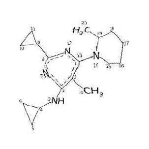 Cc1c(NC2CC2)nc(C2CC2)nc1N1CCCCC1C